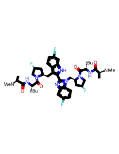 CCCC[C@H](NC(=O)[C@H](C)NC)C(=O)N1C[C@@H](F)C[C@H]1Cc1c(-c2nc3cc(F)ccc3n2C[C@@H]2C[C@H](F)CN2C(=O)[C@@H](NC(=O)[C@H](C)NC)C(C)(C)C)[nH]c2cc(F)ccc12